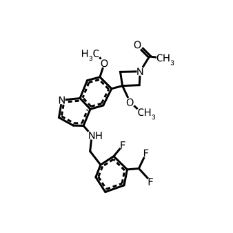 COc1cc2nccc(NCc3cccc(C(F)F)c3F)c2cc1C1(OC)CN(C(C)=O)C1